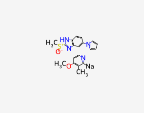 COc1ccn[c]([Na])c1C.C[S+]([O-])c1nc2cc(-n3cccc3)ccc2[nH]1